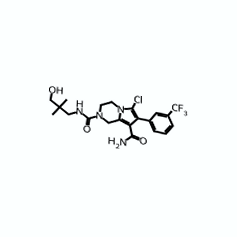 CC(C)(CO)CNC(=O)N1CCn2c(Cl)c(-c3cccc(C(F)(F)F)c3)c(C(N)=O)c2C1